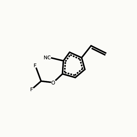 C=Cc1ccc(OC(F)F)c(C#N)c1